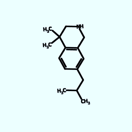 CC(C)Cc1ccc2c(c1)CNCC2(C)C